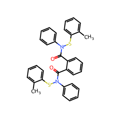 Cc1ccccc1SN(C(=O)c1ccccc1C(=O)N(Sc1ccccc1C)c1ccccc1)c1ccccc1